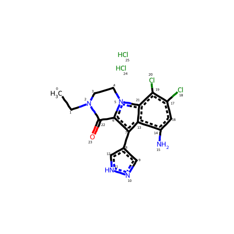 CCN1CCn2c(c(-c3cn[nH]c3)c3c(N)cc(Cl)c(Cl)c32)C1=O.Cl.Cl